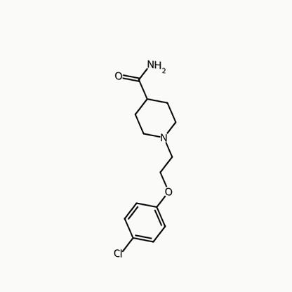 NC(=O)C1CCN(CCOc2ccc(Cl)cc2)CC1